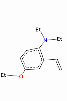 C=Cc1cc(OCC)ccc1N(CC)CC